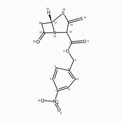 O=C(OCc1ccc([N+](=O)[O-])cc1)C1C(=S)S[C@H]2CC(=O)N12